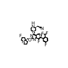 N#CC[C@H]1CN(c2nc(OC[C@@]34CCCN3C[C@H](F)C4)nc3c(F)c(-c4cc(F)ccc4C(F)F)ncc23)CCN1